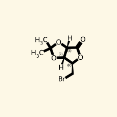 CC1(C)O[C@H]2[C@H](CBr)OC(=O)[C@H]2O1